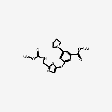 CC(C)(C)OC(=O)NCc1ncc(Sc2cc(C(=O)OC(C)(C)C)cc(N3CCCC3)c2)s1